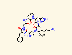 CSC[C@H](NC(=O)CNC(=O)[C@H](CC1CCCCC1)NC(=O)[C@@H]1CCCN1)C(=O)N[C@@H](Cc1c[nH]cn1)C(=O)N[C@@H](C)C(=O)N[C@@H](CCCCN)C(=O)O